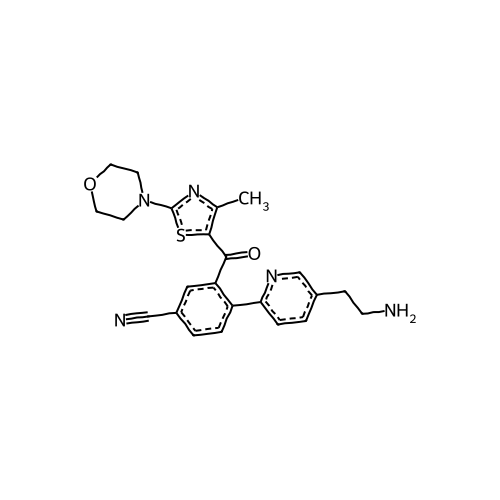 Cc1nc(N2CCOCC2)sc1C(=O)c1cc(C#N)ccc1-c1ccc(CCN)cn1